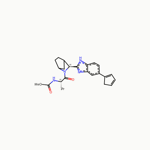 COC(=O)N[C@H](C(=O)N1C2CCC(C2)[C@H]1c1nc2cc(C3=CC=CC3)ccc2[nH]1)C(C)C